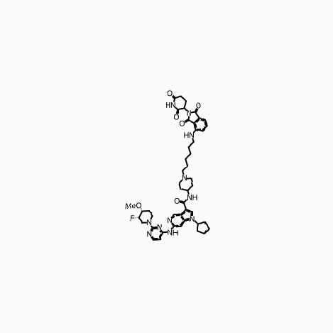 CO[C@@H]1CCN(c2nccc(Nc3cc4c(cn3)c(C(=O)NC3CCN(CCCCCCNc5cccc6c5C(=O)N(C5CCC(=O)NC5=O)C6=O)CC3)cn4C3CCCC3)n2)C[C@@H]1F